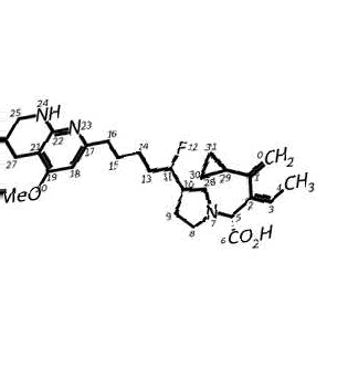 C=C(/C(=C\C)[C@H](C(=O)O)N1CC[C@@H]([C@H](F)CCCCc2cc(OC)c3c(n2)NCCC3)C1)C1CC1